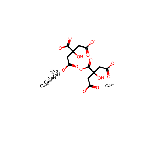 O=C([O-])CC(O)(CC(=O)[O-])C(=O)[O-].O=C([O-])CC(O)(CC(=O)[O-])C(=O)[O-].[Ca+2].[Ca+2].[Ca+2].[NaH].[NaH].[NaH]